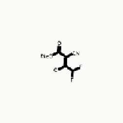 COC(=O)C(C#N)=C(Cl)C(F)F